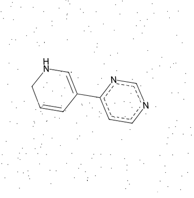 [C]1=C(c2ccncn2)C=CCN1